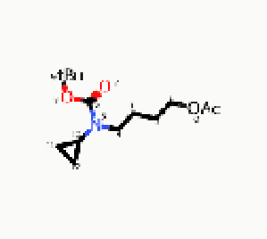 CC(=O)OCCCCN(C(=O)OC(C)(C)C)C1CC1